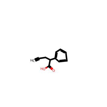 C#CCC(C(=O)O)c1ccccc1